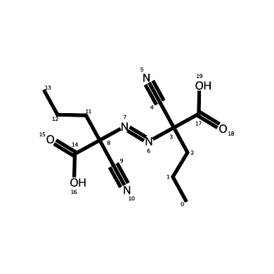 CCCC(C#N)(N=NC(C#N)(CCC)C(=O)O)C(=O)O